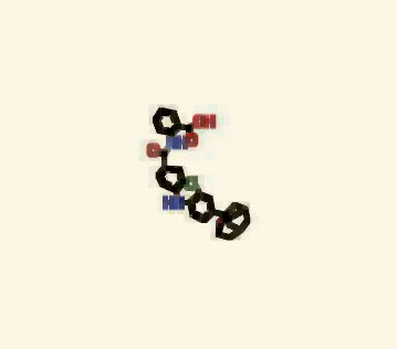 O=C(Nc1ccccc1C(=O)O)c1ccc(Nc2ccc(C34CC5CC(CC(C5)C3)C4)cc2Cl)cc1